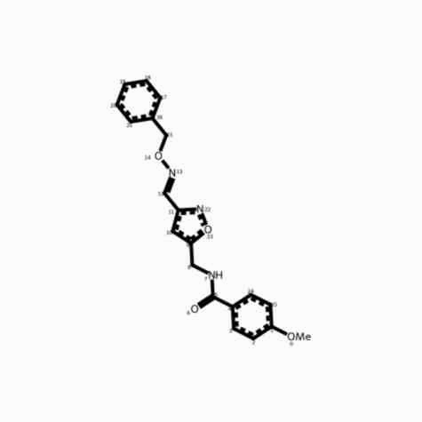 COc1ccc(C(=O)NCc2cc(C=NOCc3ccccc3)no2)cc1